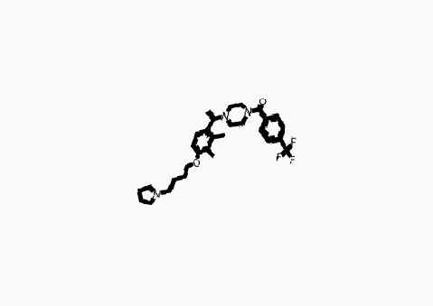 Cc1c(OCCCCN2CCCC2)ccc(C(C)N2CCN(C(=O)c3ccc(C(F)(F)F)cc3)CC2)c1C